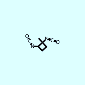 CC1(N=C=O)CCC1N=C=O